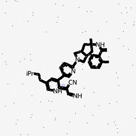 C=C(NC1(C)CC2CN(c3ccc(C4=CC(CCC(C)C)=CN/C4=C(/C#N)C=N)cn3)CC2C1)c1ccccc1C